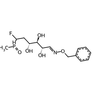 C[PH](=O)C(F)C[C@@H](O)[C@@H](O)[C@@H](O)C=NOCc1ccccc1